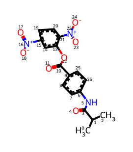 CC(C)C(=O)Nc1ccc(C(=O)Oc2cc([N+](=O)[O-])ccc2[N+](=O)[O-])cc1